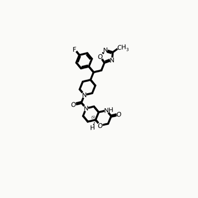 Cc1noc(CC(c2ccc(F)cc2)C2CCN(C(=O)N3CC[C@@H]4OCC(=O)NC4C3)CC2)n1